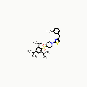 Cc1cccc(Cc2csc(N3CCC(S(=O)(=O)c4c(C(C)C)cc(C(C)C)cc4C(C)C)CC3)n2)c1